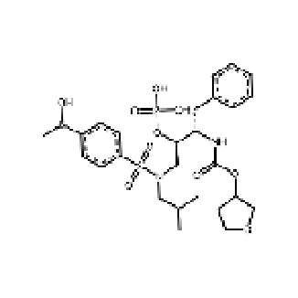 CB(O)c1ccc(S(=O)(=O)N(CC(C)C)C[C@@H](OP(=O)(O)O)[C@H](Cc2ccccc2)NC(=O)OC2CCOC2)cc1